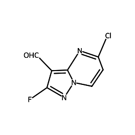 O=Cc1c(F)nn2ccc(Cl)nc12